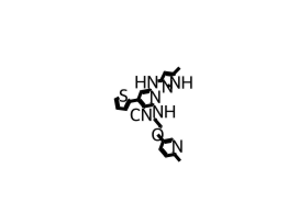 Cc1ccc(OCCNc2nc(Nc3cc(C)[nH]n3)cc(-c3cccs3)c2C#N)cn1